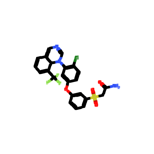 NC(=O)CS(=O)(=O)c1cccc(Oc2ccc(Cl)c(N3C=NC=C4C=CC=C(C(F)(F)F)C43)c2)c1